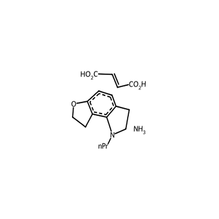 CCCN1CCc2ccc3c(c21)CCO3.N.O=C(O)C=CC(=O)O